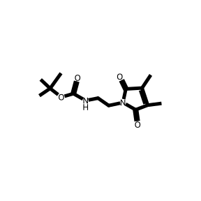 CC1=C(C)C(=O)N(CCNC(=O)OC(C)(C)C)C1=O